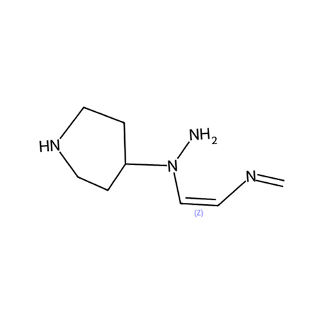 C=N/C=C\N(N)C1CCNCC1